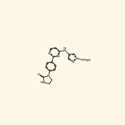 CCCCCCCn1cc(Nc2ccnc(-c3ccc(N4CCNC4=O)cc3)n2)cn1